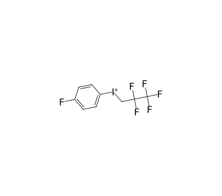 Fc1ccc([I+]CC(F)(F)C(F)(F)F)cc1